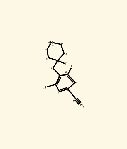 N#Cc1cc(F)c(CC2(F)CCNCC2)c(F)c1